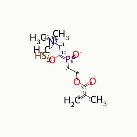 C=C(C)C(=O)OCC/[P+]([O-])=C(/C[N+](C)(C)C)OS